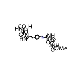 COC(=O)N[C@@H](C)C(=O)N1CCC[C@H]1c1nc(/C=C/c2ccc(C=Cc3c[nH]c([C@@H]4CCCN4C(=O)[C@H](C)NC(=O)O)n3)cc2)c[nH]1